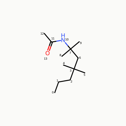 CCCC(C)(C)CC(C)(C)NC(C)=O